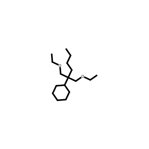 CCCCC(COCC)(COCC)C1CCCCC1